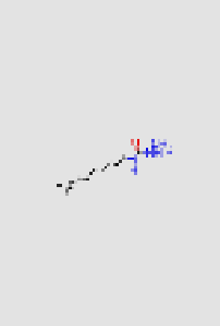 CCCCCCCCNC(=O)NN